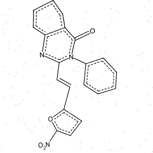 O=c1c2ccccc2nc(/C=C/c2ccc([N+](=O)[O-])o2)n1-c1ccccc1